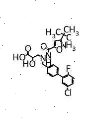 CC(C)(C)c1cc(C(=O)NN(Cc2ccc(-c3cc(Cl)ccc3F)cc2)CC(O)C(=O)O)on1